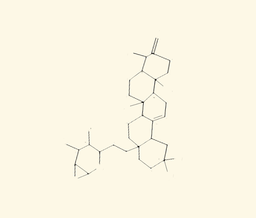 CC1C(=O)CCC2(C)C1CCC1(C)C3CCC4(CCC5OC6OC6C(O)C5O)CCC(C)(C)CC4C3=CCC12